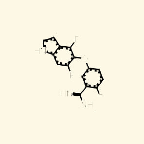 N=C(N)c1cc(Oc2c(F)cc3[nH]ccc3c2F)ccc1F